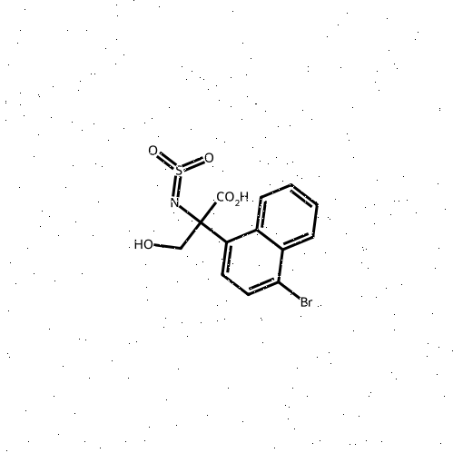 O=C(O)C(CO)(N=S(=O)=O)c1ccc(Br)c2ccccc12